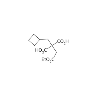 CCOC(=O)CC(CC1CCC1)(C(=O)O)C(=O)O